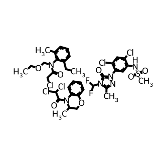 CC1COc2ccccc2N1C(=O)C(Cl)Cl.CCOCN(C(=O)CCl)c1c(C)cccc1CC.Cc1nn(-c2cc(NS(C)(=O)=O)c(Cl)cc2Cl)c(=O)n1C(F)F